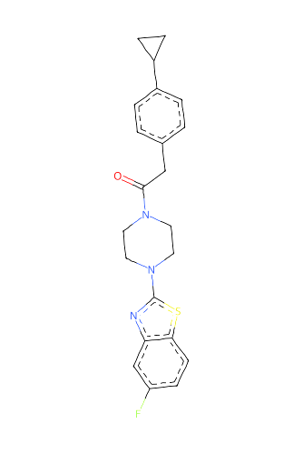 O=C(Cc1ccc(C2CC2)cc1)N1CCN(c2nc3cc(F)ccc3s2)CC1